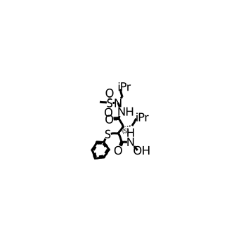 CC(C)C[C@@H](C(=O)NN(CC(C)C)S(C)(=O)=O)C(Sc1ccccc1)C(=O)NO